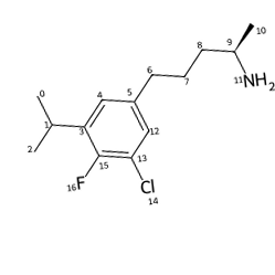 CC(C)c1cc(CCC[C@@H](C)N)cc(Cl)c1F